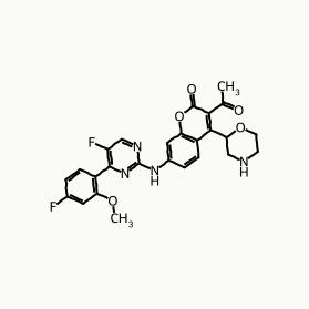 COc1cc(F)ccc1-c1nc(Nc2ccc3c(C4CNCCO4)c(C(C)=O)c(=O)oc3c2)ncc1F